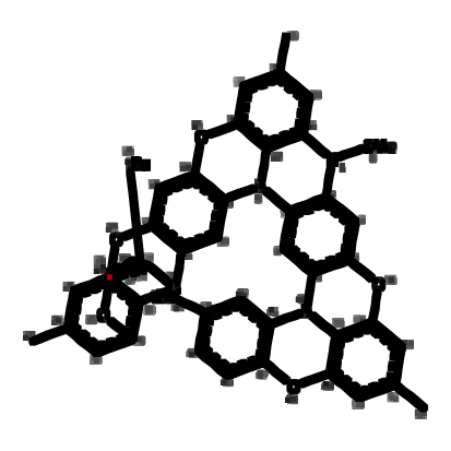 CSN1c2cc3c(cc2B2c4cc5c(cc4Oc4cc(C)cc1c42)Oc1cc(C)cc2c1B5c1cc(C(C)(C)C)ccc1O2)B1c2cc(C(C)(C)C)ccc2Oc2cc(C)cc(c21)O3